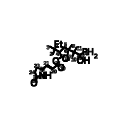 CCC(C)(C)C(CC(C)(C)C(C)(C)C(O)P)C(=O)OC(=O)/C=C/C1CCC(=O)N1